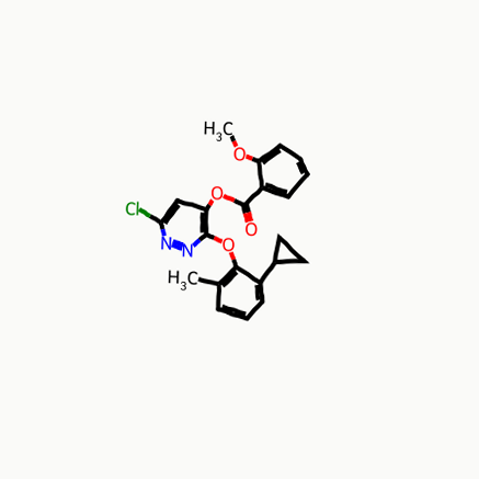 COc1ccccc1C(=O)Oc1cc(Cl)nnc1Oc1c(C)cccc1C1CC1